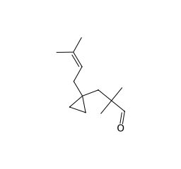 CC(C)=CCC1(CC(C)(C)C=O)CC1